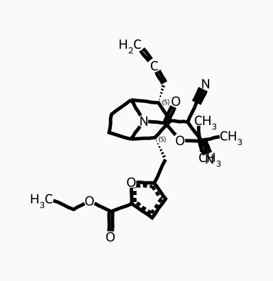 C=C=C[C@@H]1C(C(C#N)C#N)[C@H](Cc2ccc(C(=O)OCC)o2)C2CCC1N2C(=O)OC(C)(C)C